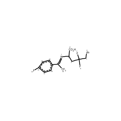 CC(C)CC(F)(F)CC(N=C(c1ccc(F)cc1)C(F)(F)F)C(=O)O